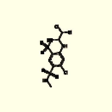 CNS(=O)(=O)c1cc2c(cc1Cl)NC(C(Cl)Cl)NS2(=O)=O